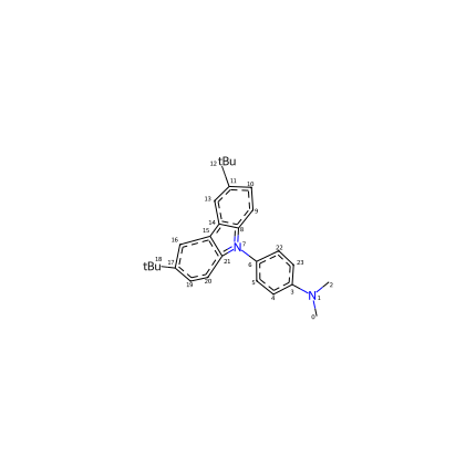 CN(C)c1ccc(-n2c3ccc(C(C)(C)C)cc3c3cc(C(C)(C)C)ccc32)cc1